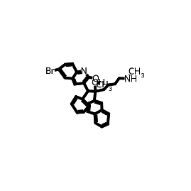 CNCCCCC(O)(c1ccc2ccccc2c1)C(c1ccccc1)c1cc2cc(Br)ccc2nc1OC